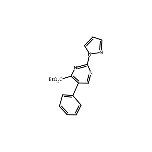 CCOC(=O)c1nc(-n2cccn2)ncc1-c1ccccc1